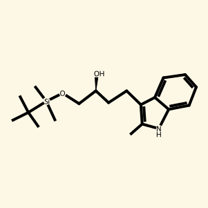 Cc1[nH]c2ccccc2c1CC[C@H](O)CO[Si](C)(C)C(C)(C)C